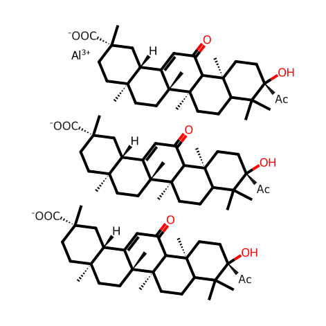 CC(=O)[C@]1(O)CC[C@@]2(C)C(CC[C@]3(C)C2C(=O)C=C2[C@H]4C[C@@](C)(C(=O)[O-])CC[C@]4(C)CC[C@]23C)C1(C)C.CC(=O)[C@]1(O)CC[C@@]2(C)C(CC[C@]3(C)C2C(=O)C=C2[C@H]4C[C@@](C)(C(=O)[O-])CC[C@]4(C)CC[C@]23C)C1(C)C.CC(=O)[C@]1(O)CC[C@@]2(C)C(CC[C@]3(C)C2C(=O)C=C2[C@H]4C[C@@](C)(C(=O)[O-])CC[C@]4(C)CC[C@]23C)C1(C)C.[Al+3]